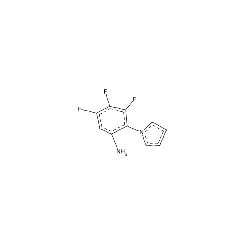 Nc1cc(F)c(F)c(F)c1-n1cccc1